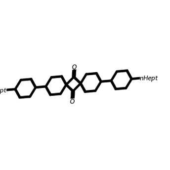 CCCCCCCC1CCC(C2CCC3(CC2)C(=O)C2(CCC(C4CCC(CCCCCCC)CC4)CC2)C3=O)CC1